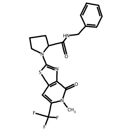 Cn1c(C(F)(F)F)cc2sc(N3CCCC3C(=O)NCc3ccccc3)nc2c1=O